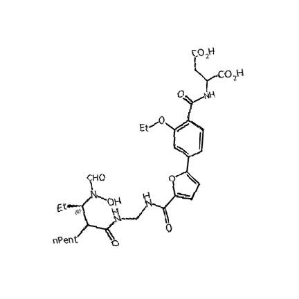 CCCCCC(C(=O)NCNC(=O)c1ccc(-c2ccc(C(=O)NC(CC(=O)O)C(=O)O)c(OCC)c2)o1)[C@@H](CC)N(O)C=O